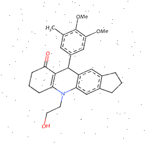 COc1cc(C2C3=C(CCCC3=O)N(CCO)c3cc4c(cc32)CCC4)cc(C)c1OC